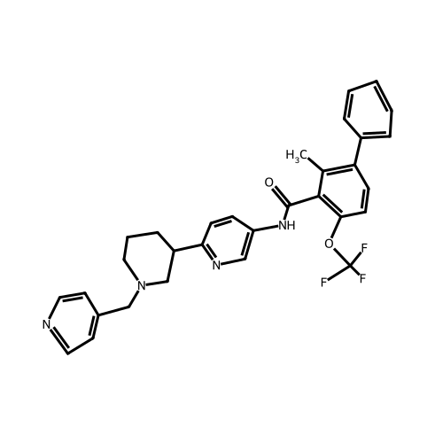 Cc1c(-c2ccccc2)ccc(OC(F)(F)F)c1C(=O)Nc1ccc(C2CCCN(Cc3ccncc3)C2)nc1